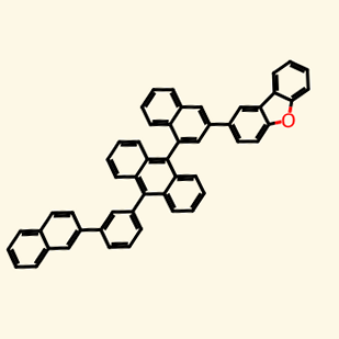 c1cc(-c2ccc3ccccc3c2)cc(-c2c3ccccc3c(-c3cc(-c4ccc5oc6ccccc6c5c4)cc4ccccc34)c3ccccc23)c1